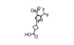 O=C(O)C1CC(n2cc([N+](=O)[O-])c(C(F)F)n2)C1